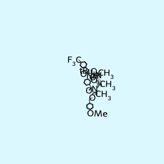 COc1ccc(COC[C@H](C)N2C[C@@H](C)[C@@H](CN(C)C(=O)OC(C)(C)C)Oc3c(NC(=O)Cc4ccc(C(F)(F)F)cc4)cccc3C2=O)cc1